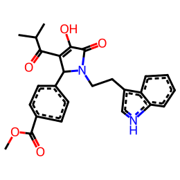 COC(=O)c1ccc(C2C(C(=O)C(C)C)=C(O)C(=O)N2CCc2c[nH]c3ccccc23)cc1